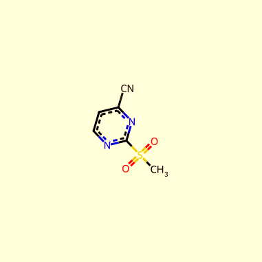 CS(=O)(=O)c1nccc(C#N)n1